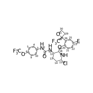 O=C(Nc1ccc(OC(F)(F)F)cc1)NC1CCC(Cl)NC1Oc1ccc(F)cc1C1(C(F)(F)F)CCO1